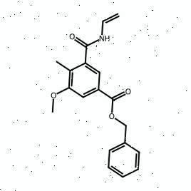 C=CNC(=O)c1cc(C(=O)OCc2ccccc2)cc(OC)c1C